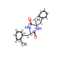 CC1(Cc2ccccc2)NC(=O)C(Cc2ccccc2C#N)NC1=O